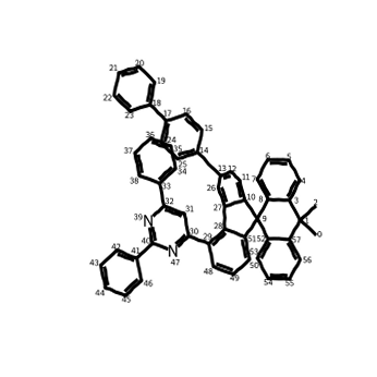 CC1(C)c2ccccc2C2(c3ccc(-c4ccc(-c5ccccc5)cc4)cc3-c3c(-c4cc(-c5ccccc5)nc(-c5ccccc5)n4)cccc32)c2ccccc21